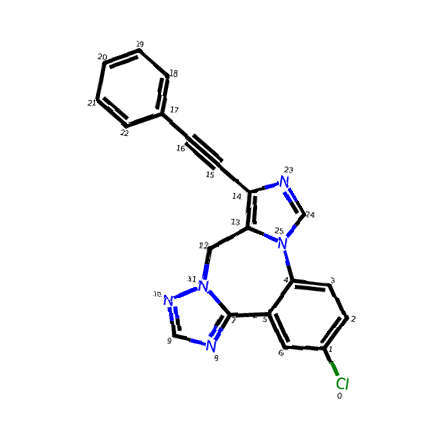 Clc1ccc2c(c1)-c1ncnn1Cc1c(C#Cc3ccccc3)ncn1-2